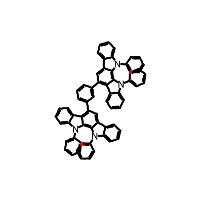 c1ccc(-n2c3ccccc3c3cc(-c4cccc(-c5cc6c7ccccc7n(-c7ccccc7)c6c6c5c5ccccc5n6-c5ccccc5)c4)c4c5ccccc5n(-c5ccccc5)c4c32)cc1